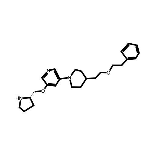 c1ccc(CCOCCC2CCN(c3cncc(OC[C@@H]4CCCN4)c3)CC2)cc1